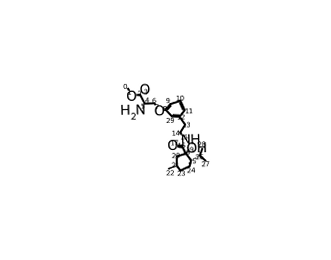 COC(=O)[C@H](N)COc1cccc(CCNC(=O)[C@]2(O)C[C@H](C)CC[C@H]2C(C)C)c1